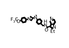 CCc1nc2ccn(C)cc-2c1C(=O)NCc1ccc(N(C)C2CN(c3ccc(OC(F)(F)F)cc3)C2)cc1